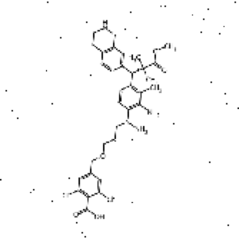 COC(=O)C(C)(C)C(c1ccc2c(c1)CNCC2)c1ccc(N(N)CCCOCc2cc(Cl)c(C(=O)O)c(Cl)c2)c(N)c1C